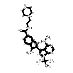 CNc1ncnc2c1c(-c1[nH]c3cc(C(=O)NCCN4CCOCC4)ccc3c1C)nn2C(C)(C)C